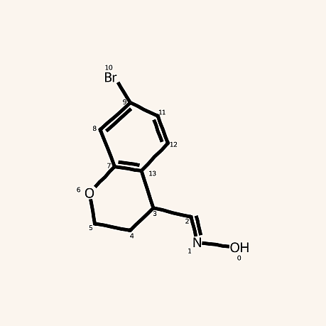 ON=CC1CCOc2cc(Br)ccc21